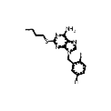 CCCCSc1nc(N)c2ncn(Cc3cc(Cl)ccc3F)c2n1